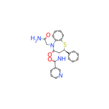 NC(=O)CN1C(=O)[C@@H](NC(=O)c2cccnc2)[C@H](c2ccccc2)Sc2ccccc21